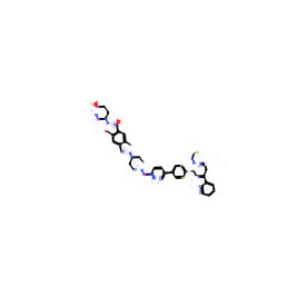 C[C@@H]1Cc2c([nH]c3ccccc23)[C@@H](c2c(F)cc(-c3ccc(C(=O)N4CCC(N5Cc6cc7c(cc6C5)C(=O)N(C5CCC(=O)NC5=O)C7=O)CC4)nc3)cc2F)N1CC(F)F